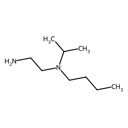 CCCCN(CCN)C(C)C